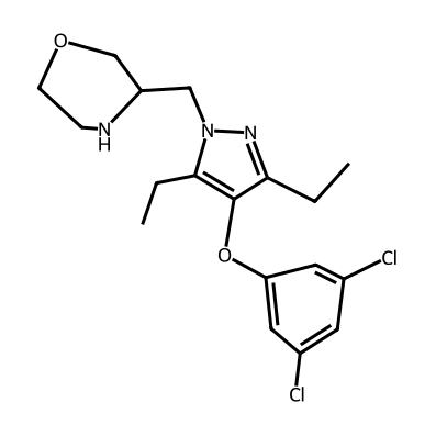 CCc1nn(CC2COCCN2)c(CC)c1Oc1cc(Cl)cc(Cl)c1